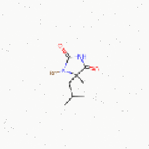 CC(C)CC1(C)C(=O)NC(=O)N1Br